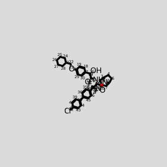 NC1CC2CCC(C1)N2C(=O)[C@H](NC(=O)[C@@H](O)c1ccc(OCC2CCCCC2)cc1)C(F)(F)c1ccc(-c2ccc(Cl)cc2)cc1